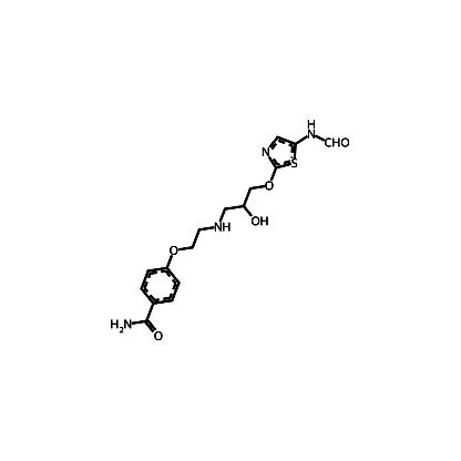 NC(=O)c1ccc(OCCNCC(O)COc2ncc(NC=O)s2)cc1